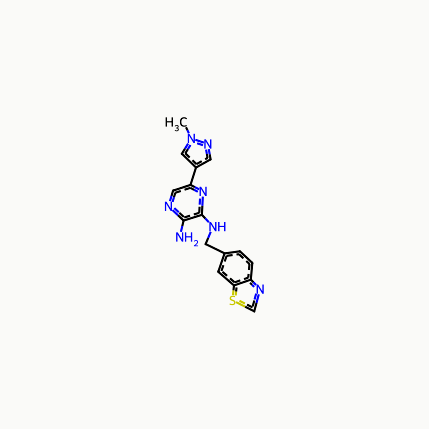 Cn1cc(-c2cnc(N)c(NCc3ccc4ncsc4c3)n2)cn1